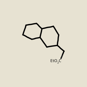 CCOC(=O)CC1CCC2CCCCC2C1